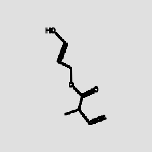 C=CC(C)C(=O)OCC=CO